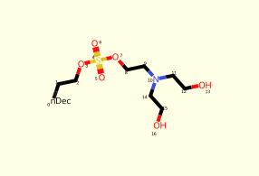 CCCCCCCCCCCCOS(=O)(=O)OCCN(CCO)CCO